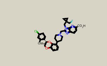 COc1cc(Cl)ccc1[C@H]1COc2cccc(C3CCN(Cc4nc5ccc(C(=O)O)nc5n4CC4(CF)CC4)CC3)c2O1